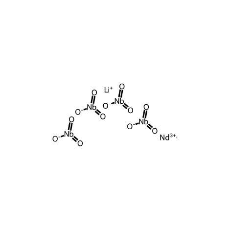 [Li+].[Nd+3].[O]=[Nb](=[O])[O-].[O]=[Nb](=[O])[O-].[O]=[Nb](=[O])[O-].[O]=[Nb](=[O])[O-]